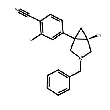 N#Cc1ccc(C23C[C@@H]2CN(Cc2ccccc2)C3)cc1F